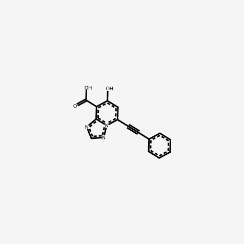 O=C(O)c1c(O)cc(C#Cc2ccccc2)n2ncnc12